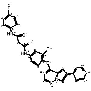 O=C(CC(=O)Nc1ccc(Oc2ncnn3cc(-c4ccncc4)cc23)c(F)c1)Nc1ccc(F)cc1